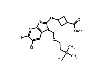 COC(=O)C1CC(Oc2nc3nc(I)c(Cl)cc3n2COCC[Si](C)(C)C)C1